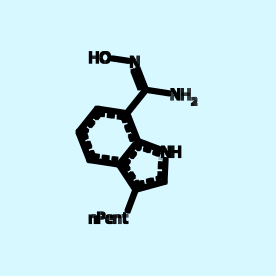 CCCCCc1c[nH]c2c(/C(N)=N\O)cccc12